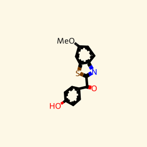 COc1ccc2nc(C(=O)c3ccc(O)cc3)sc2c1